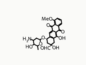 COc1cccc2c1C(=O)c1cc3c(c(O)c1C2=O)C[C@@](O)(C=O)C[C@@H]3OC1CC(N)C(O)C(C)O1